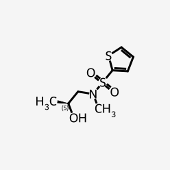 C[C@H](O)CN(C)S(=O)(=O)c1cccs1